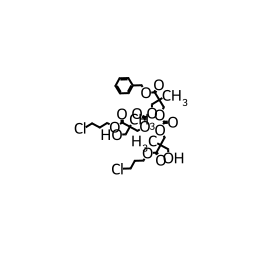 CC(CO)(COC(=O)OCC(C)(COC(=O)OCC(C)(CO)C(=O)OCCCCl)C(=O)OCc1ccccc1)C(=O)OCCCCl